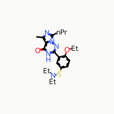 CCCc1nc(C)c2c(=O)[nH]c(-c3cc(SN(CC)CC)ccc3OCC)nn12